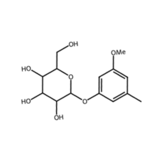 COc1cc(C)cc(OC2OC(CO)C(O)C(O)C2O)c1